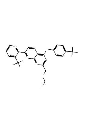 CCOCc1cc(Nc2ccc(C(F)(F)F)cc2)c2ccc(-c3ncccc3C(F)(F)F)nc2n1